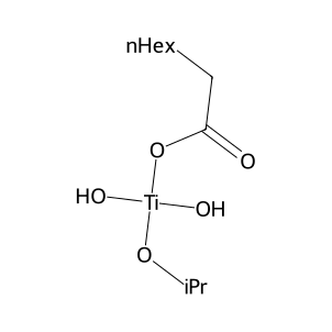 CCCCCCCC(=O)[O][Ti]([OH])([OH])[O]C(C)C